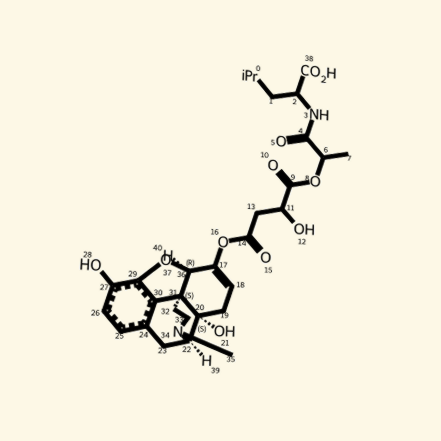 CC(C)CC(NC(=O)C(C)OC(=O)C(O)CC(=O)OC1=CC[C@@]2(O)[C@H]3Cc4ccc(O)c5c4[C@@]2(CCN3C)[C@H]1O5)C(=O)O